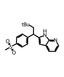 CC(C)(C)CC(c1ccc(S(C)(=O)=O)cc1)c1cc2cccnc2[nH]1